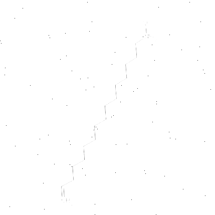 C=CCCCCCCCCCCCCCC[NH2+][O-]